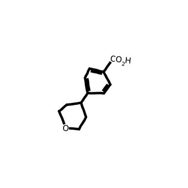 O=C(O)c1ccc(C2CCOCC2)cc1